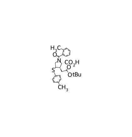 Cc1ccc(S[C@H]2CN(C(=O)c3ccccc3C)[C@H](C(=O)O)[C@H]2CC(=O)OC(C)(C)C)cc1